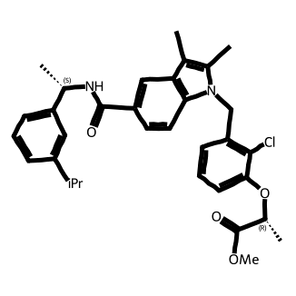 COC(=O)[C@@H](C)Oc1cccc(Cn2c(C)c(C)c3cc(C(=O)N[C@@H](C)c4cccc(C(C)C)c4)ccc32)c1Cl